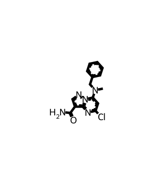 CN(Cc1ccccc1)c1cc(Cl)nc2c(C(N)=O)cnn12